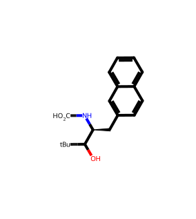 CC(C)(C)C(O)[C@H](Cc1ccc2ccccc2c1)NC(=O)O